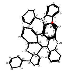 C1=CCCC(n2c3ccccc3c3cccc(C4=CC=CC5SC6C(C=CCC6C6CC=CCC6)C(C6C7=CC=CCC7SC7C=CC=CC76)C45)c32)=C1